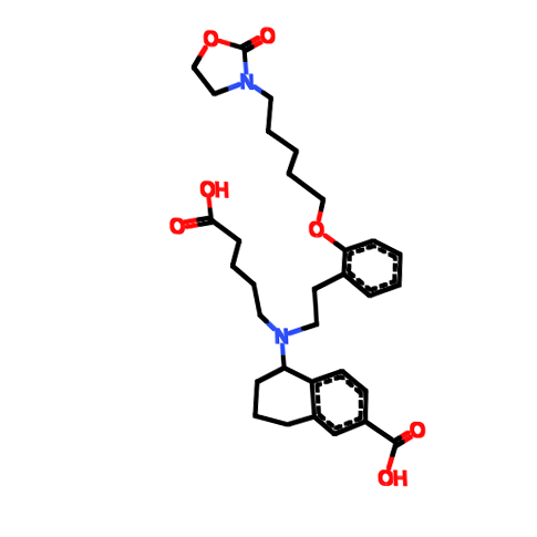 O=C(O)CCCCN(CCc1ccccc1OCCCCCN1CCOC1=O)C1CCCc2cc(C(=O)O)ccc21